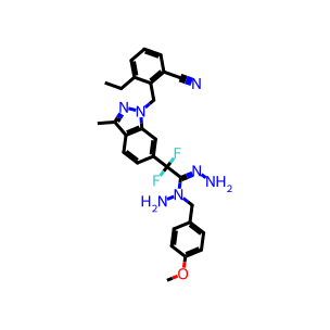 CCc1cccc(C#N)c1Cn1nc(C)c2ccc(C(F)(F)/C(=N/N)N(N)Cc3ccc(OC)cc3)cc21